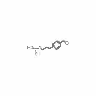 O=Cc1ccc(CCCON(O)O)cc1